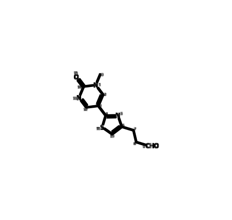 Cn1cc(-c2nc(CCC=O)cs2)cnc1=O